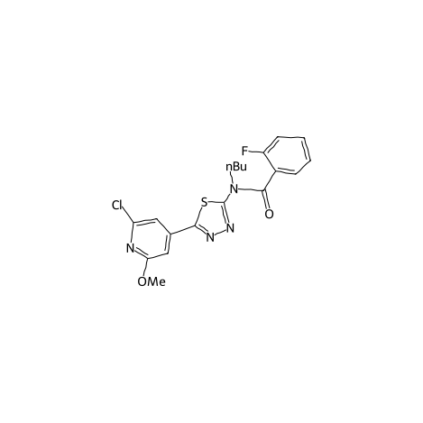 CCCCN(C(=O)c1ccccc1F)c1nnc(-c2cc(Cl)nc(OC)c2)s1